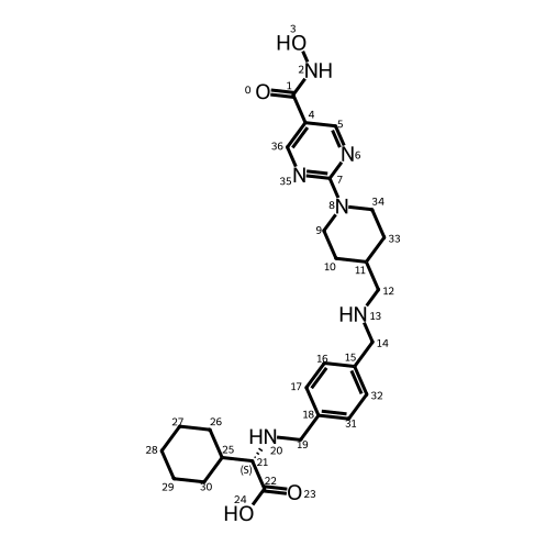 O=C(NO)c1cnc(N2CCC(CNCc3ccc(CN[C@H](C(=O)O)C4CCCCC4)cc3)CC2)nc1